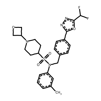 Cc1cccc(N(Cc2ccc(-c3nnc(C(F)F)o3)cc2)S(=O)(=O)C2CCN(C3COC3)CC2)c1